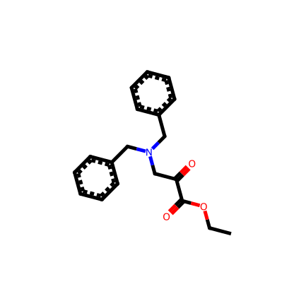 CCOC(=O)C(=O)CN(Cc1ccccc1)Cc1ccccc1